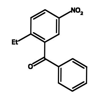 CCc1ccc([N+](=O)[O-])cc1C(=O)c1ccccc1